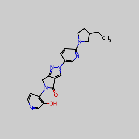 CCC1CCN(c2ccc(-n3cc4c(n3)CN(c3ccncc3O)C4=O)cn2)C1